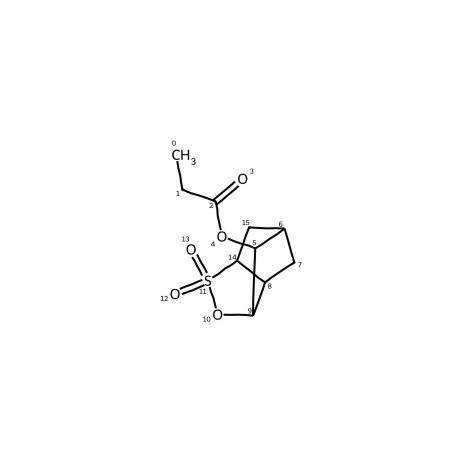 CCC(=O)OC1C2CC3C1OS(=O)(=O)C3C2